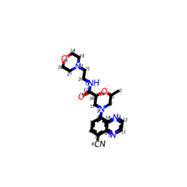 CC1CN(c2ccc(C#N)c3nccnc23)CC(C(=O)NCCN2CCOCC2)O1